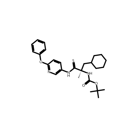 CC(C)(C)OC(=O)N[C@](C)(CC1CCCCC1)C(=S)Nc1ccc(Oc2ccccc2)nc1